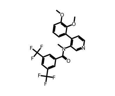 COc1cccc(-c2ccncc2N(C)C(=O)c2cc(C(F)(F)F)cc(C(F)(F)F)c2)c1OC